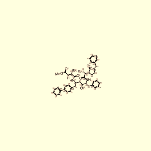 COC(=O)NC(C(=O)NC(Cc1ccc(-c2ccccn2)cc1)CC(O)C(Cc1ccccc1)NC(=O)C(N1CCN(Cc2cccnc2)C1=O)C(C)(C)C)C(C)(C)C